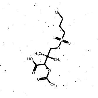 CC(=O)OC(C(=O)O)C(C)(C)COS(=O)(=O)CCCCl